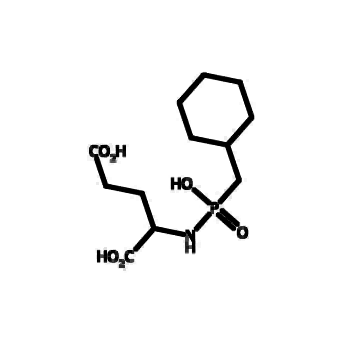 O=C(O)CCC(NP(=O)(O)CC1CCCCC1)C(=O)O